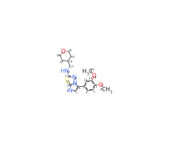 COc1ccc(-c2cnc3sc(NCC4CCOCC4)nn23)cc1OC